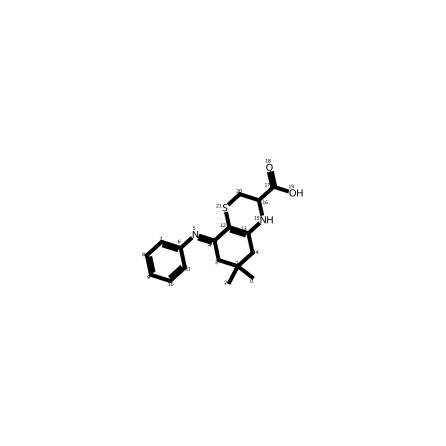 CC1(C)CC(=Nc2ccccc2)C2=C(C1)NC(C(=O)O)CS2